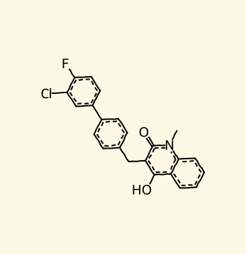 Cn1c(=O)c(Cc2ccc(-c3ccc(F)c(Cl)c3)cc2)c(O)c2ccccc21